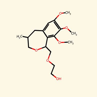 COc1cc2c(c(OC)c1OC)C(COCCO)OCC(C)C2